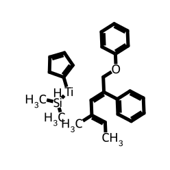 CC=C(C)C=C(COc1ccccc1)c1ccccc1.C[SiH](C)[Ti][C]1=CC=CC1